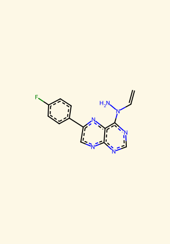 C=CN(N)c1ncnc2ncc(-c3ccc(F)cc3)nc12